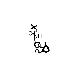 Cc1cccc(C=O)c1N1CC[C@@H](CNC(=O)OC(C)(C)C)C1